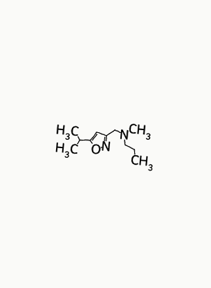 CCCN(C)Cc1cc(C(C)C)on1